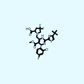 COC(=O)C1=C(CN2CC(F)(F)CC2C(=O)O)NC(c2nc(C(C)(C)C)cs2)=N[C@H]1c1ccc(F)cc1Cl